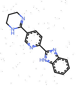 c1ccc2[nH]c(-c3ccc(C4=NCCCN4)cn3)nc2c1